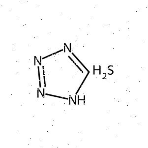 S.c1nnn[nH]1